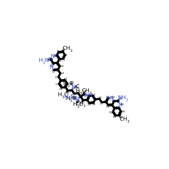 Cc1ccc2c(c1)nc(N)c1ncc(CCc3ccc(C(C)C(C(N)CC(C(C)N)(C(C)c4ccc(CCc5cnc6c(N)nc7cc(C)ccc7c6c5)cc4)N(C)C)N(C)C)cc3)cc12